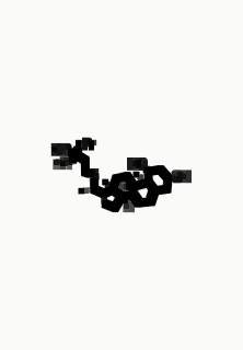 CCCC(O)(CCC)CCS[C@@H](C)[C@H]1CC[C@H]2C3=CC=C4C[C@@H](O)C[C@H](O)[C@]4(C)[C@H]3CC[C@]12C